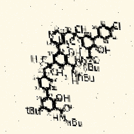 CCCCNC(=O)c1cc(C(C)(C)Cc2cncc(-c3cc(C(C)(C)Cc4ccc(-c5cc(C(C)(C)C)cc(C(=O)NCCCC)c5O)nc4)cc(C(=O)NCCCC)c3O)c2)cc(-c2ccc(Cl)cc2)c1O